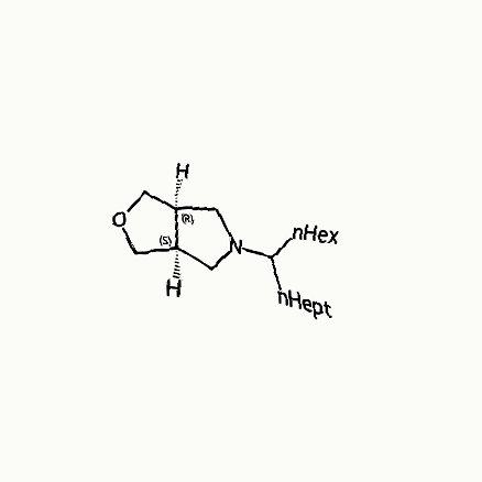 CCCCCCCC(CCCCCC)N1C[C@H]2COC[C@H]2C1